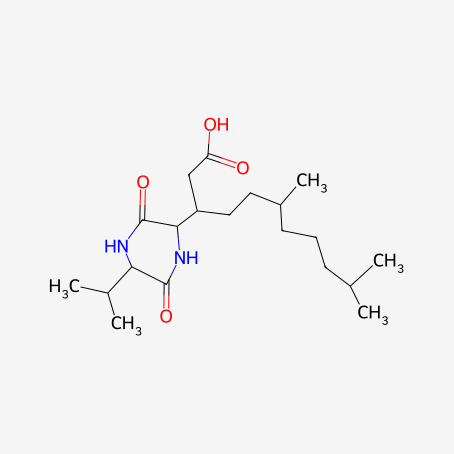 CC(C)CCCC(C)CCC(CC(=O)O)C1NC(=O)C(C(C)C)NC1=O